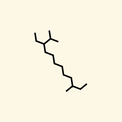 CC[C](C)CCCCCCC(CC)C(C)C